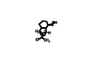 C/C(Cl)=C1\[C@@H]2CC[C@H]1C1=C2C(=NO)CCC1